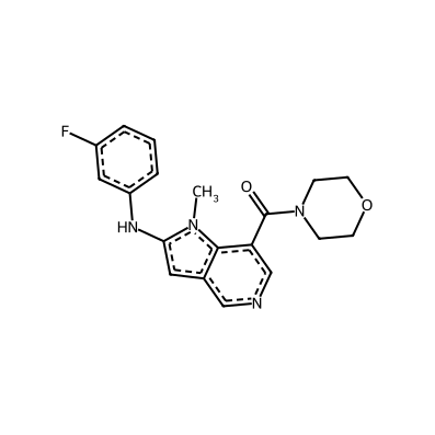 Cn1c(Nc2cccc(F)c2)cc2cncc(C(=O)N3CCOCC3)c21